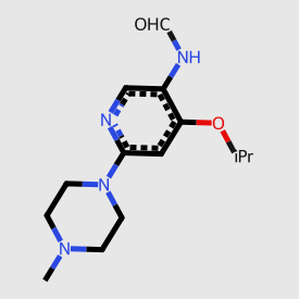 CC(C)Oc1cc(N2CCN(C)CC2)ncc1NC=O